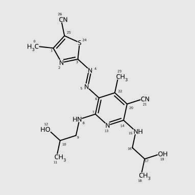 Cc1nc(N=Nc2c(NCC(C)O)nc(NCC(C)O)c(C#N)c2C)sc1C#N